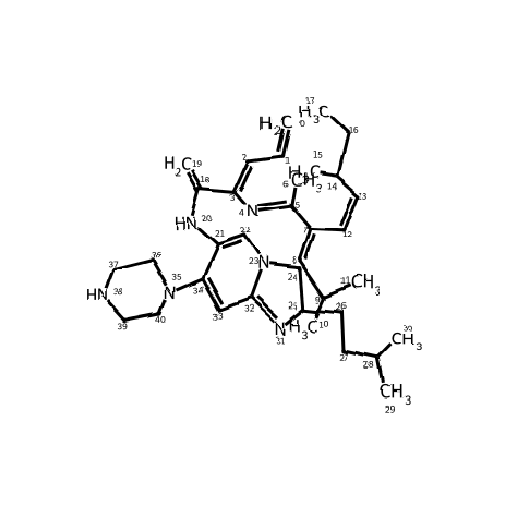 C=C/C=C(\N=C(/C)C(=CC(C)C)/C=C\C(C)CC)C(=C)NC1=CN2CC(CCC(C)C)N=C2C=C1N1CCNCC1